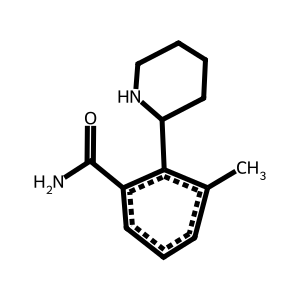 Cc1cccc(C(N)=O)c1C1CCCCN1